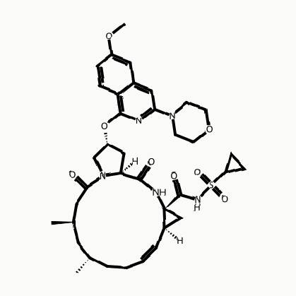 COc1ccc2c(O[C@@H]3C[C@H]4C(=O)N[C@]5(C(=O)NS(=O)(=O)C6CC6)C[C@H]5/C=C\CC[C@H](C)C[C@@H](C)CC(=O)N4C3)nc(N3CCOCC3)cc2c1